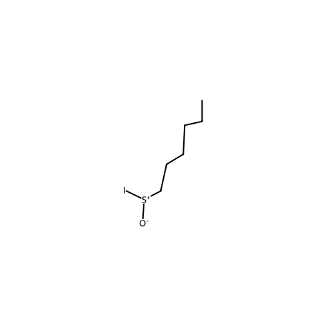 CCCCCC[S+]([O-])I